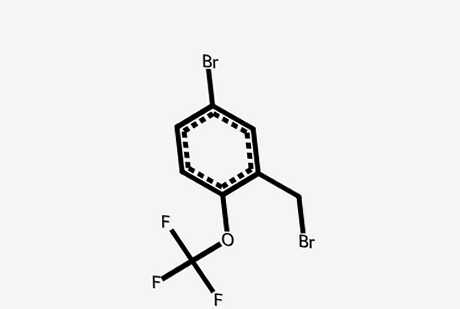 FC(F)(F)Oc1ccc(Br)cc1CBr